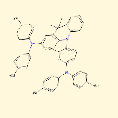 CC(C)(C)C1=CC=C(N(c2ccc(C(C)(C)C)cc2)c2cc3c4c(c2)c2cc(N(c5ccc(C(C)(C)C)cc5)c5ccc(C(C)(C)C)cc5)ccc2n4-c2ccccc2C3(C)C)CC1